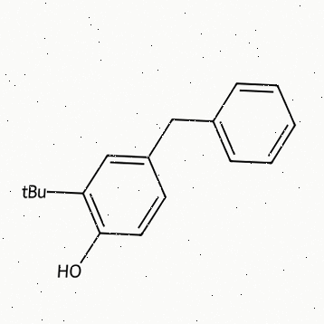 CC(C)(C)c1cc(Cc2ccccc2)ccc1O